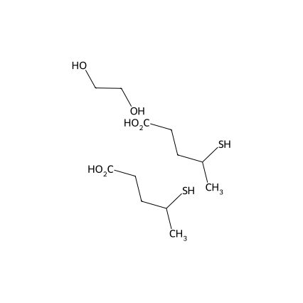 CC(S)CCC(=O)O.CC(S)CCC(=O)O.OCCO